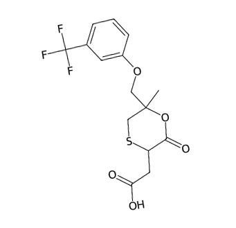 CC1(COc2cccc(C(F)(F)F)c2)CSC(CC(=O)O)C(=O)O1